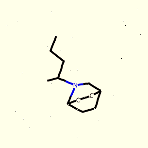 CCCC(C)N1CC2CCC1CC2